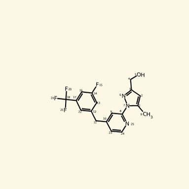 Cc1cc(CO)nn1-c1cc(Cc2cc(F)cc(C(F)(F)F)c2)ccn1